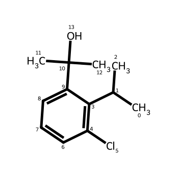 CC(C)c1c(Cl)cccc1C(C)(C)O